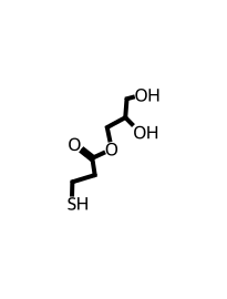 O=C(CCS)OCC(O)CO